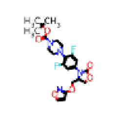 CC(C)(C)OC(=O)N1CCN(c2c(F)cc(N3C(=O)OCC3COc3ccon3)cc2F)CC1